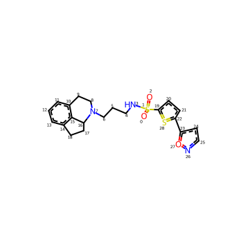 O=S(=O)(NCCCN1CCc2cccc3c2C1CC3)c1ccc(-c2ccno2)s1